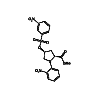 COC(=O)[C@@H]1C[C@H](OS(=O)(=O)c2cccc([N+](=O)[O-])c2)CN1c1ccccc1[N+](=O)[O-]